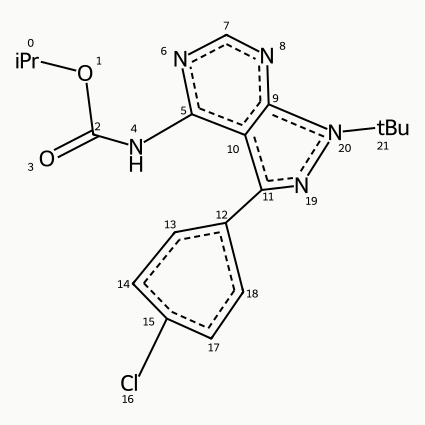 CC(C)OC(=O)Nc1ncnc2c1c(-c1ccc(Cl)cc1)nn2C(C)(C)C